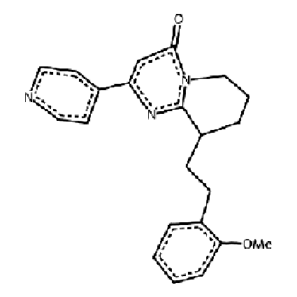 COc1ccccc1CCC1CCCn2c1nc(-c1ccncc1)cc2=O